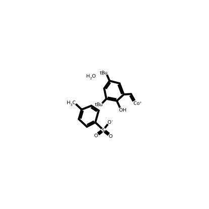 CC(C)(C)c1cc([CH]=[Co+])c(O)c(C(C)(C)C)c1.Cc1ccc(S(=O)(=O)[O-])cc1.O